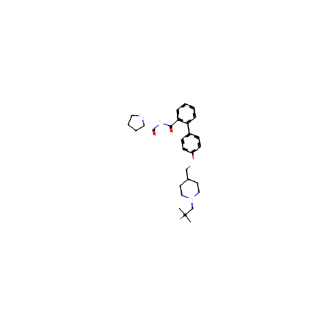 CC(C)(F)CN1CCC(COc2ccc(-c3ccccc3C(=O)NC(=O)[C@@H]3CCCN3)cc2)CC1